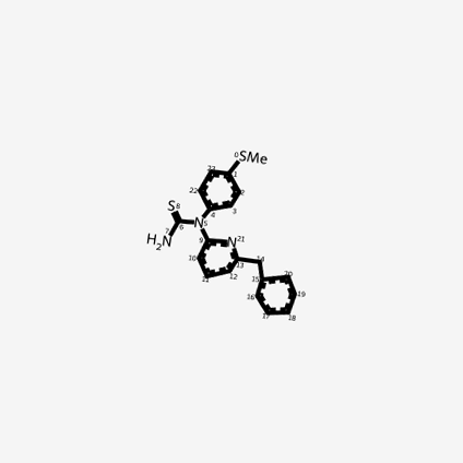 CSc1ccc(N(C(N)=S)c2cccc(Cc3ccccc3)n2)cc1